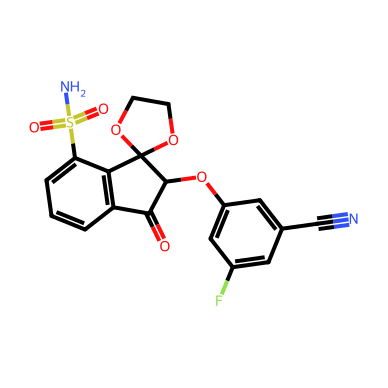 N#Cc1cc(F)cc(OC2C(=O)c3cccc(S(N)(=O)=O)c3C23OCCO3)c1